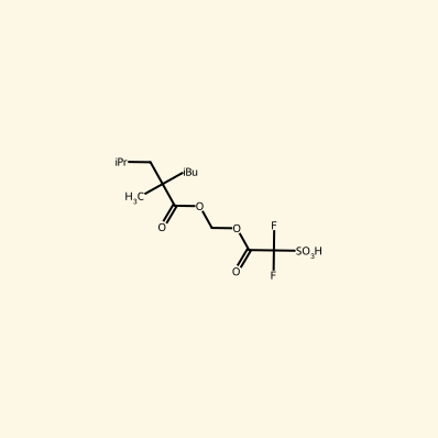 CCC(C)C(C)(CC(C)C)C(=O)OCOC(=O)C(F)(F)S(=O)(=O)O